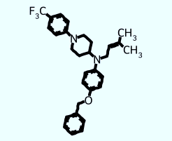 CC(C)=CCN(c1ccc(OCc2ccccc2)cc1)C1CCN(c2ccc(C(F)(F)F)cc2)CC1